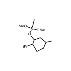 CO[Si](C)(OC)OC1CC(C)CCC1C(C)C